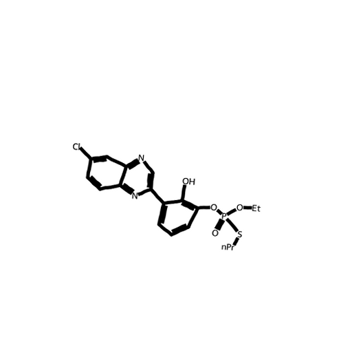 CCCSP(=O)(OCC)Oc1cccc(-c2cnc3cc(Cl)ccc3n2)c1O